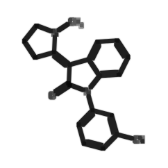 CN1CCCC1=C1C(=O)N(c2cccc(C#N)c2)c2ccccc21